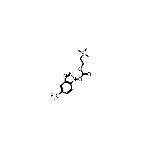 C[Si](C)(C)CCOC(=O)On1nnc2cc(C(F)(F)F)ccc21